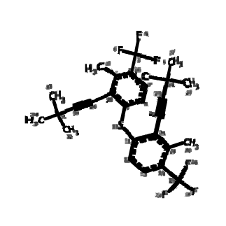 Cc1c(C(F)(F)F)ccc(Sc2ccc(C(F)(F)F)c(C)c2C#CC(C)(C)C)c1C#CC(C)(C)C